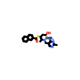 CC(=C(CCO)SC(=O)c1ccc2ccccc2c1)N(C=O)Cc1cnc(C)nc1N